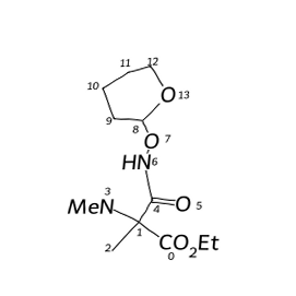 CCOC(=O)C(C)(NC)C(=O)NOC1CCCCO1